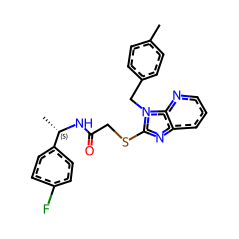 Cc1ccc(Cn2c(SCC(=O)N[C@@H](C)c3ccc(F)cc3)nc3cccnc32)cc1